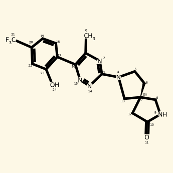 Cc1nc(N2CC[C@]3(CNC(=O)C3)C2)nnc1-c1ccc(C(F)(F)F)cc1O